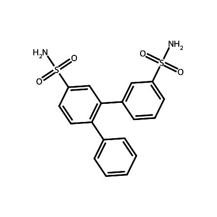 NS(=O)(=O)c1cccc(-c2cc(S(N)(=O)=O)ccc2-c2ccccc2)c1